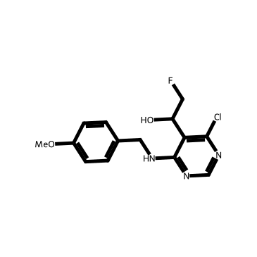 COc1ccc(CNc2ncnc(Cl)c2C(O)CF)cc1